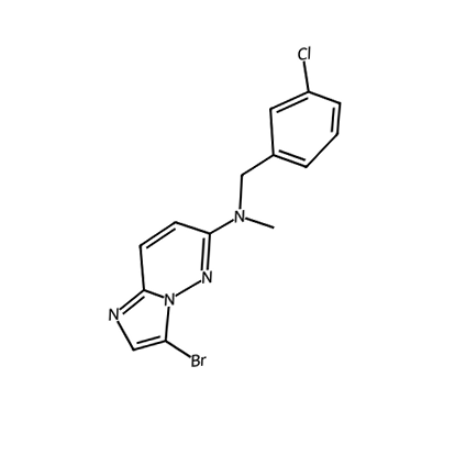 CN(Cc1cccc(Cl)c1)c1ccc2ncc(Br)n2n1